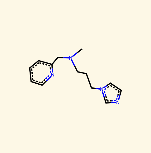 CN(CCCn1ccnc1)Cc1ccccn1